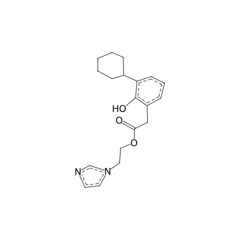 O=C(Cc1cccc(C2CCCCC2)c1O)OCCn1ccnc1